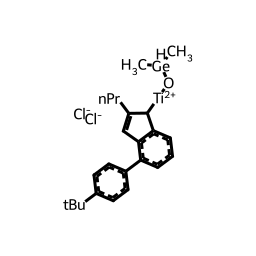 CCCC1=Cc2c(-c3ccc(C(C)(C)C)cc3)cccc2[CH]1[Ti+2][O][GeH]([CH3])[CH3].[Cl-].[Cl-]